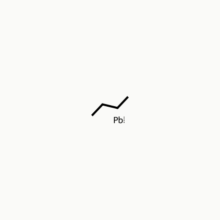 CCCC.[Pb]